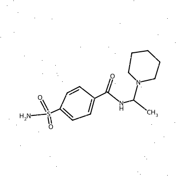 CC(NC(=O)c1ccc(S(N)(=O)=O)cc1)N1CCCCC1